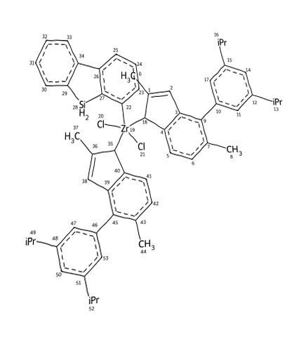 CC1=Cc2c(ccc(C)c2-c2cc(C(C)C)cc(C(C)C)c2)[CH]1[Zr]([Cl])([Cl])([c]1cccc2c1[SiH2]c1ccccc1-2)[CH]1C(C)=Cc2c1ccc(C)c2-c1cc(C(C)C)cc(C(C)C)c1